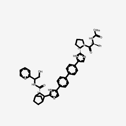 COC(=O)N[C@H](C(=O)N1CCC[C@H]1c1ncc(-c2ccc(-c3ccc(-c4cnc(C5C6CCC(C6)[C@@H]5C(=O)NC(CO)c5ccccn5)[nH]4)cc3)cc2)[nH]1)C(C)C